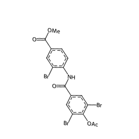 COC(=O)c1ccc(NC(=O)c2cc(Br)c(OC(C)=O)c(Br)c2)c(Br)c1